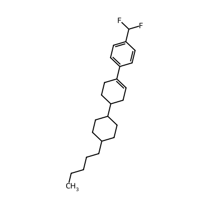 CCCCCC1CCC(C2CC=C(c3ccc(C(F)F)cc3)CC2)CC1